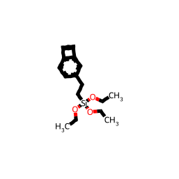 CCO[Si](CCc1ccc2c(c1)C=C2)(OCC)OCC